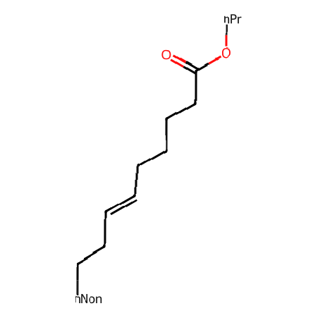 CCCCCCCCCCC/C=C/CCCCC(=O)OCCC